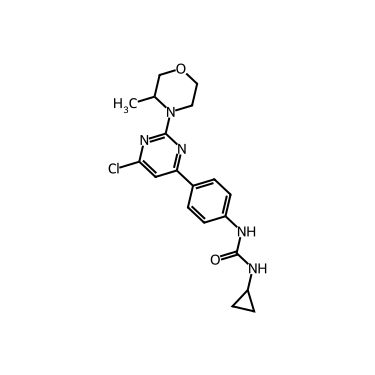 CC1COCCN1c1nc(Cl)cc(-c2ccc(NC(=O)NC3CC3)cc2)n1